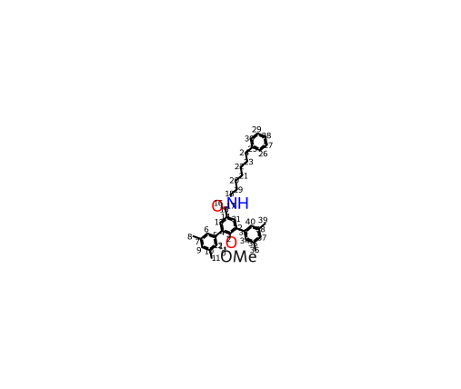 COCOc1c(-c2cc(C)cc(C)c2)cc(C(=O)NCCCCCCCc2ccccc2)cc1-c1cc(C)cc(C)c1